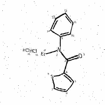 CCN(C(=O)c1cccs1)c1ccccc1.Cl.Cl